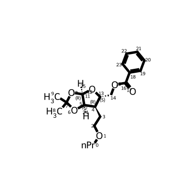 CCCOCC[C@H]1[C@H]2OC(C)(C)O[C@H]2O[C@@H]1COC(=O)c1ccccc1